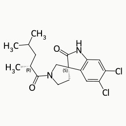 CC(C)C[C@@H](C)C(=O)N1CC[C@]2(C1)C(=O)Nc1cc(Cl)c(Cl)cc12